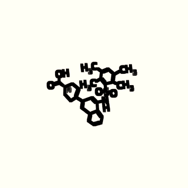 Cc1cc(C)c(C)c(S(=O)(=O)Nc2cc(C3=CC[C@H](C(=O)O)CC3)cc3ccccc23)c1C